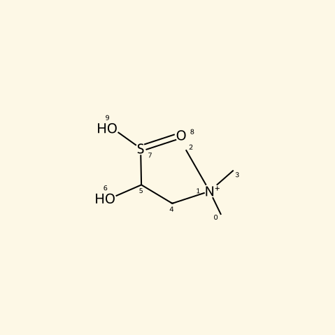 C[N+](C)(C)CC(O)S(=O)O